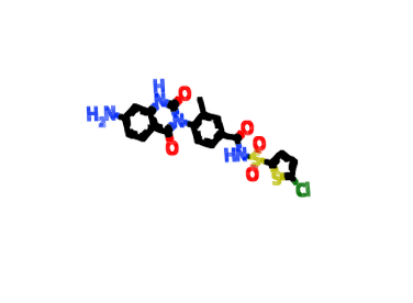 Cc1cc(C(=O)NS(=O)(=O)c2ccc(Cl)s2)ccc1-n1c(=O)[nH]c2cc(N)ccc2c1=O